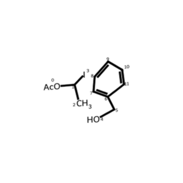 CC(=O)OC(C)I.OCc1ccccc1